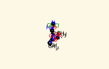 CC1(C)CCCN([C@@H]2CC(C(=O)N[C@@H](Cc3ccc(NC(=O)c4c(Cl)cncc4Cl)cc3)C(=O)O)N(S(=O)(=O)c3cccc(S(C)(=O)=O)c3)C2)C1